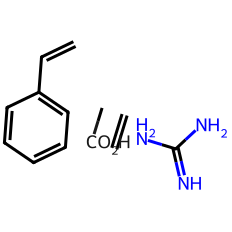 C=C.C=Cc1ccccc1.CC(=O)O.N=C(N)N